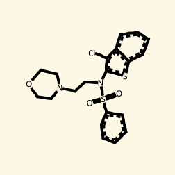 O=S(=O)(c1ccccc1)N(CCN1CCOCC1)c1sc2ccccc2c1Cl